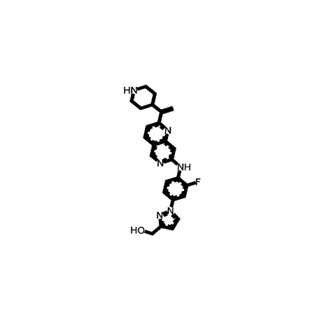 C=C(c1ccc2cnc(Nc3ccc(-n4ccc(CO)n4)cc3F)cc2n1)C1CCNCC1